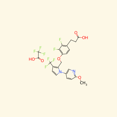 COc1ccc(-n2ccc(C(F)(F)F)c2COc2ccc(CCC(=O)O)c(F)c2F)cn1.O=C(O)C(F)(F)F